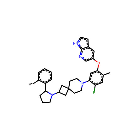 Cc1cc(F)c(N2CCC3(CC2)CC(N2CCCC2c2ccccc2C(C)C)C3)cc1Oc1cnc2[nH]ccc2c1